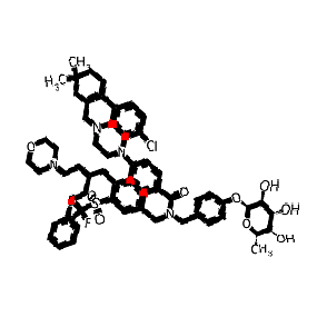 C[C@@H]1O[C@@H](Oc2ccc(CN(Cc3ccc(CC(CCN4CCOCC4)CSc4ccccc4)c(S(=O)(=O)C(F)(F)F)c3)C(=O)c3ccc(N4CCN(CC5=C(c6ccc(Cl)cc6)CCC(C)(C)C5)CC4)cc3)cc2)[C@@H](O)[C@H](O)[C@@H]1O